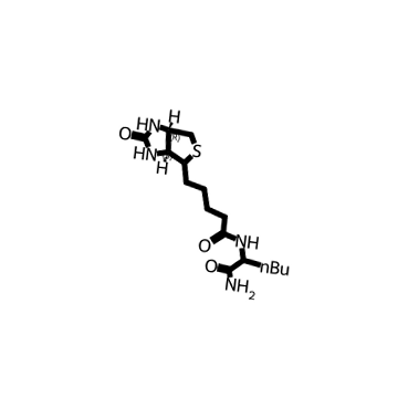 CCCCC(NC(=O)CCCCC1SC[C@@H]2NC(=O)N[C@H]12)C(N)=O